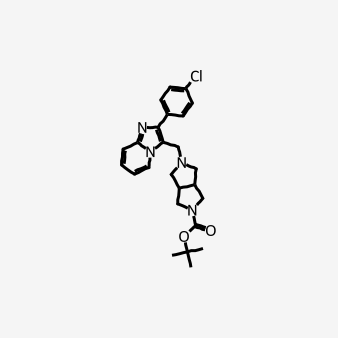 CC(C)(C)OC(=O)N1CC2CN(Cc3c(-c4ccc(Cl)cc4)nc4ccccn34)CC2C1